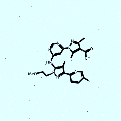 COCCn1nc(-c2ccc(F)cn2)c(C)c1Nc1cc(-n2nc(C)c(C(=O)N=O)c2C)ncn1